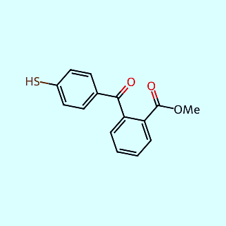 COC(=O)c1ccccc1C(=O)c1ccc(S)cc1